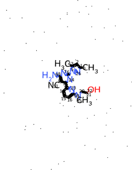 Cc1cc(C)n(-c2nc(N)c(C#N)c(-c3cccc(N(C)CCO)n3)n2)n1